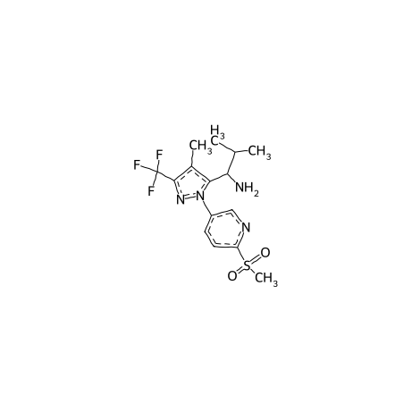 Cc1c(C(F)(F)F)nn(-c2ccc(S(C)(=O)=O)nc2)c1C(N)C(C)C